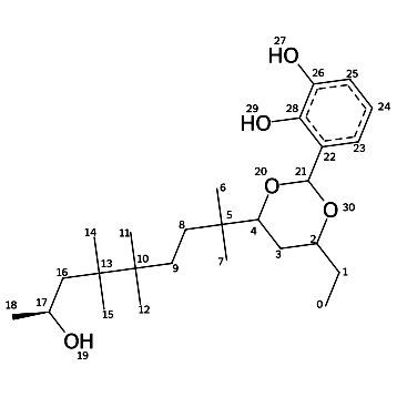 CCC1CC(C(C)(C)CCC(C)(C)C(C)(C)C[C@H](C)O)OC(c2cccc(O)c2O)O1